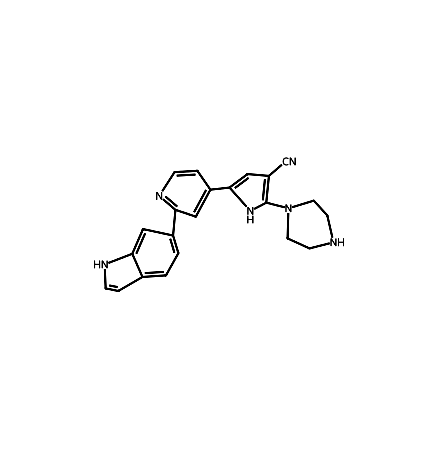 N#Cc1cc(-c2ccnc(-c3ccc4cc[nH]c4c3)c2)[nH]c1N1CCNCC1